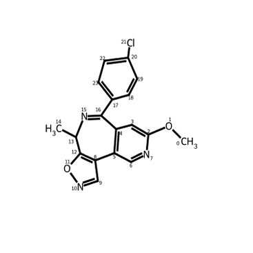 COc1cc2c(cn1)-c1cnoc1C(C)N=C2c1ccc(Cl)cc1